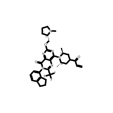 C=CC(=O)C1C[C@H](C)N(c2nc(OC[C@@H]3CCCN3C)nc3c(=O)n(-c4cccc5c4CCC5)c(C(F)(F)F)nc23)[C@@H](C)C1